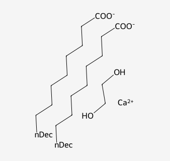 CCCCCCCCCCCCCCCCCC(=O)[O-].CCCCCCCCCCCCCCCCCC(=O)[O-].OCCO.[Ca+2]